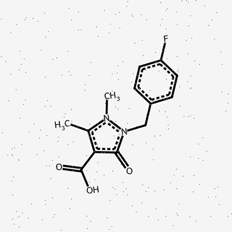 Cc1c(C(=O)O)c(=O)n(Cc2ccc(F)cc2)n1C